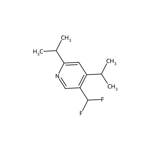 CC(C)c1cc(C(C)C)c(C(F)F)cn1